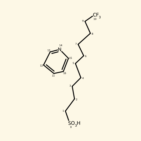 O=S(=O)(O)CCCCCCCCCC(F)(F)F.c1ccncc1